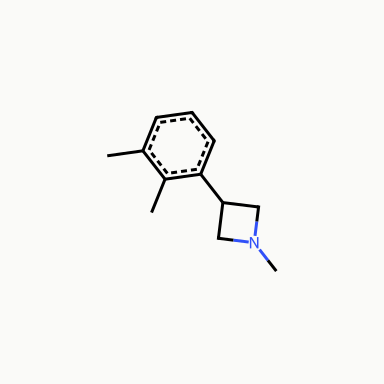 Cc1cccc(C2CN(C)C2)c1C